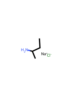 CCC(C)N.[Cl-].[Na+]